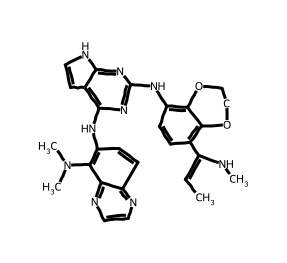 C/C=C(\NC)c1ccc(Nc2nc(Nc3ccc4nccnc4c3N(C)C)c3cc[nH]c3n2)c2c1OCCO2